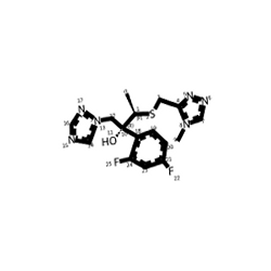 C[C@@H](SCc1nncn1C)[C@](O)(Cn1cncn1)c1ccc(F)cc1F